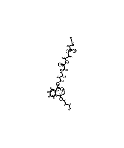 CCCCOC(=O)c1ccccc1C(=O)OCCCSCC(=O)OCCOC(=O)CSC